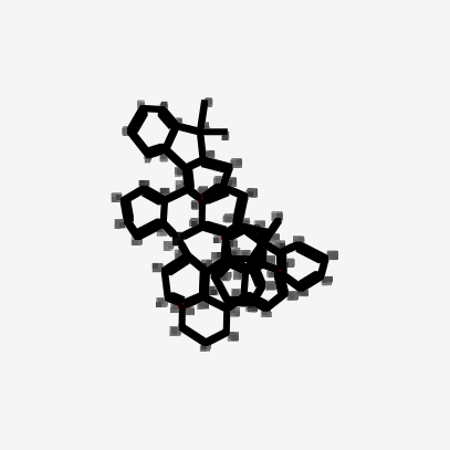 CC1(C)c2ccccc2-c2c(-c3ccccc3N(c3ccccc3-c3cccc4cccc(C5CCCCC5)c34)c3cccc4c3-c3ccccc3C4(C)c3ccccc3)cccc21